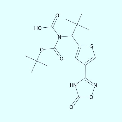 CC(C)(C)OC(=O)N(C(=O)O)C(c1cc(-c2noc(=O)[nH]2)cs1)C(C)(C)C